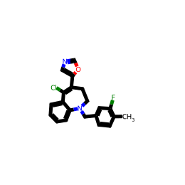 Cc1ccc(CN2CCC(c3cnco3)=C(Cl)c3ccccc32)cc1F